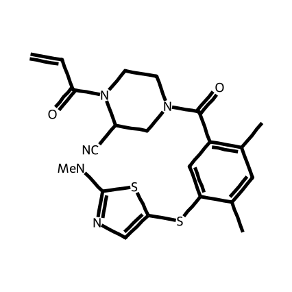 C=CC(=O)N1CCN(C(=O)c2cc(Sc3cnc(NC)s3)c(C)cc2C)CC1C#N